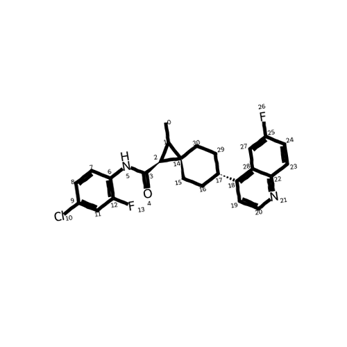 CC1[C@H](C(=O)Nc2ccc(Cl)cc2F)[C@]12CC[C@@H](c1ccnc3ccc(F)cc31)CC2